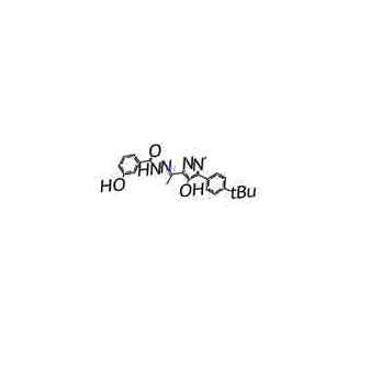 C/C(=N\NC(=O)c1cccc(O)c1)c1nn(C)c(-c2ccc(C(C)(C)C)cc2)c1O